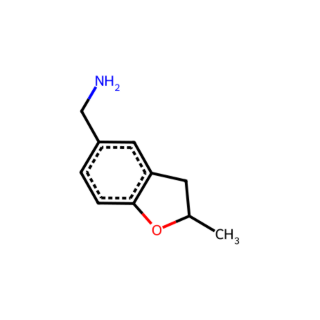 CC1Cc2cc(CN)ccc2O1